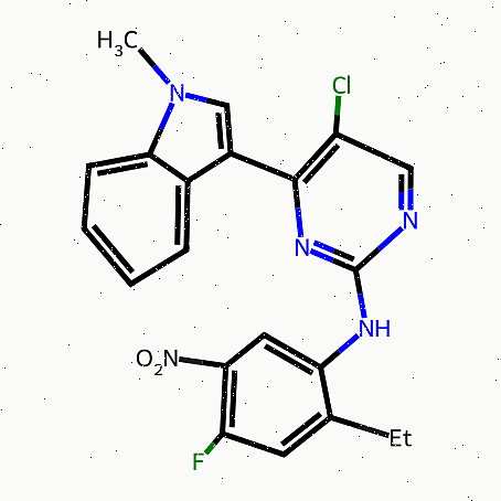 CCc1cc(F)c([N+](=O)[O-])cc1Nc1ncc(Cl)c(-c2cn(C)c3ccccc23)n1